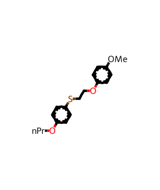 CCCOc1ccc(SCCOc2ccc(OC)cc2)cc1